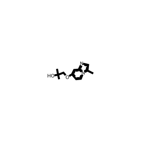 Cc1cnc2cc(OCC(C)(C)O)ccn12